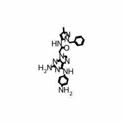 Cc1cc(NC(=O)Cn2cnc3c(Nc4ccc(N)cc4)nc(N)nc32)n(Cc2ccccc2)n1